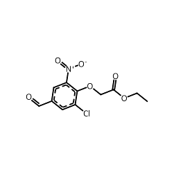 CCOC(=O)COc1c(Cl)cc(C=O)cc1[N+](=O)[O-]